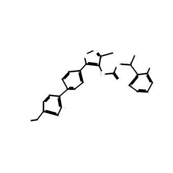 Cc1noc(-c2ccc(-c3ccc(CC(=O)O)cc3)cc2)c1NC(=O)OC(C)c1ccccc1F